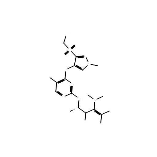 CCC(C(=C(C)C)N(C)C)[C@@H](C)Nc1ncc(Cl)c(Nc2cn(C)nc2S(=O)(=O)CC(C)C)n1